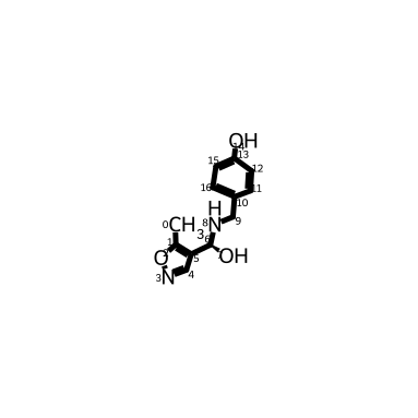 Cc1oncc1[C@H](O)NCc1ccc(O)cc1